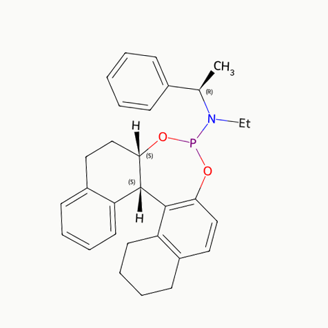 CCN([C@H](C)c1ccccc1)P1Oc2ccc3c(c2[C@@H]2c4ccccc4CC[C@@H]2O1)CCCC3